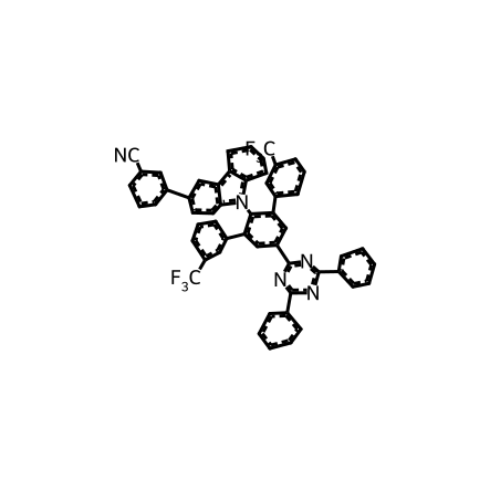 N#Cc1cccc(-c2ccc3c(c2)c2ccccc2n3-c2c(-c3cccc(C(F)(F)F)c3)cc(-c3nc(-c4ccccc4)nc(-c4ccccc4)n3)cc2-c2cccc(C(F)(F)F)c2)c1